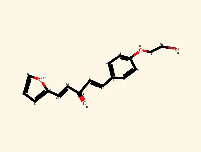 O=C(C=Cc1ccc(OCCBr)cc1)C=Cc1ccco1